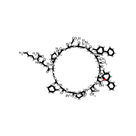 CC(C)[C@@H]1NC(=O)[C@H](Cc2ccccc2)NC(=O)CSC[C@@H](C(=O)NCC(=O)N[C@@H](CCCCN)C(N)=O)NC(=O)[C@@H]2CCCN2C(=O)[C@H](C)NC(=O)[C@H](CCC(=O)O)NC(=O)[C@H](C)N(C)C(=O)[C@H](Cc2ccc(-c3ccccc3)cc2)NC(=O)[C@H](C)N(C)C(=O)[C@H](Cc2ccc(-c3ccccc3)cc2)NC(=O)[C@H]([C@@H](C)O)NC(=O)[C@H]([C@@H](C)O)NC(=O)[C@@H]2CCCN2C1=O